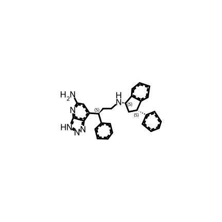 Nc1cc([C@@H](CCN[C@H]2C[C@@H](c3ccccc3)c3ccccc32)c2ccccc2)c2nn[nH]c2n1